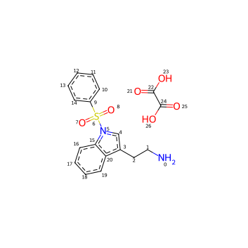 NCCc1cn(S(=O)(=O)c2ccccc2)c2ccccc12.O=C(O)C(=O)O